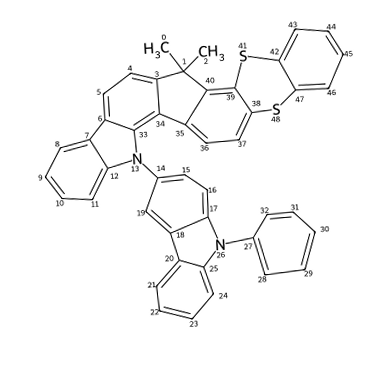 CC1(C)c2ccc3c4ccccc4n(-c4ccc5c(c4)c4ccccc4n5-c4ccccc4)c3c2-c2ccc3c(c21)Sc1ccccc1S3